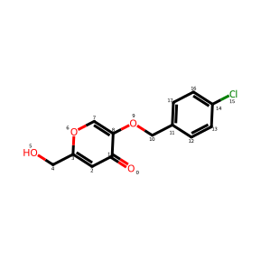 O=c1cc(CO)occ1OCc1ccc(Cl)cc1